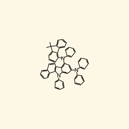 CC1(C)c2ccccc2-c2c(N(c3ccccc3)c3cc(N(c4ccccc4)c4ccccc4)cc4c3c3ccc5ccccc5c3n4-c3ccccc3)cccc21